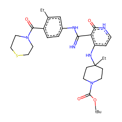 CCc1cc(NC(=N)c2c(NC3(CC)CCN(C(=O)OC(C)(C)C)CC3)cc[nH]c2=O)ccc1C(=O)N1CCSCC1